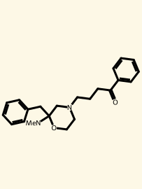 CNC1(Cc2ccccc2)CN(CCCC(=O)c2ccccc2)CCO1